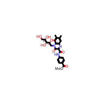 COC(=O)c1ccc(NC(=O)c2nc3cc(C)c(C)cc3n(C[C@H](O)[C@H](O)[C@H](O)CO)c2=O)cc1